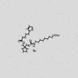 CCCCCCCCCCCCCCCCCCNC(=O)OCC1(COC(=O)CCCC[n+]2ccsc2)CCCC1.[Br-]